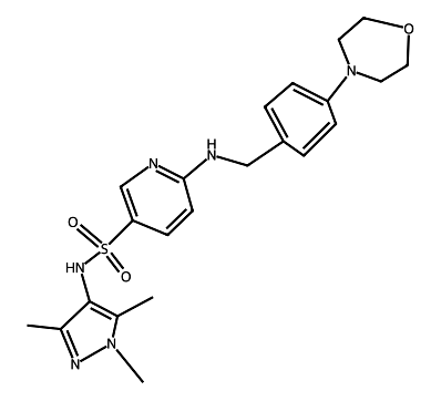 Cc1nn(C)c(C)c1NS(=O)(=O)c1ccc(NCc2ccc(N3CCOCC3)cc2)nc1